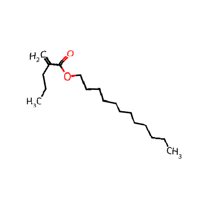 C=C(CCC)C(=O)OCCCCCCCCCCCC